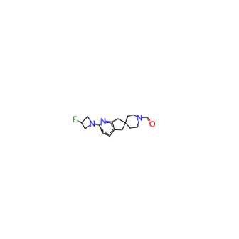 O=CN1CCC2(CC1)Cc1ccc(N3CC(F)C3)nc1C2